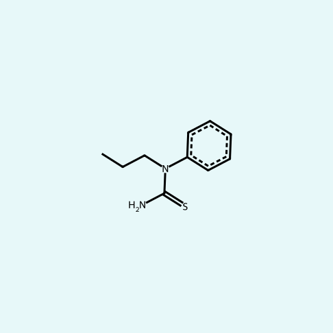 CCCN(C(N)=S)c1ccccc1